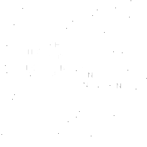 C=C1OB(c2cnn(Cc3cccnc3)c2)OC1(C)C